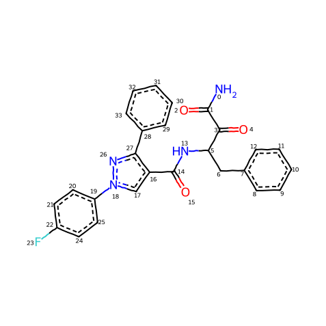 NC(=O)C(=O)C(Cc1ccccc1)NC(=O)c1cn(-c2ccc(F)cc2)nc1-c1ccccc1